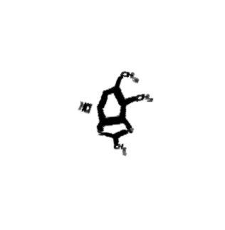 Cc1nc2c(C)c(C)ccc2s1.Cl